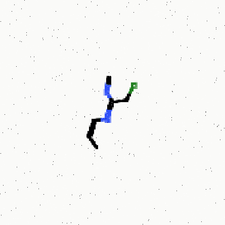 C=N/C(CCl)=N\C=C/C